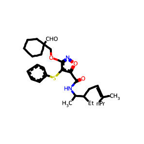 CCC/C(C)=C\CC(CC)C(C)NC(=O)c1onc(OCC2(C=O)CCCCC2)c1Sc1ccccc1